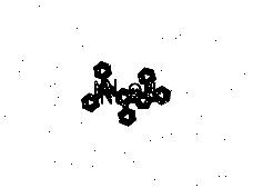 c1ccc(-c2nc(-c3ccccc3)nc(-c3cc(-c4ccccc4)c4c(c3)oc3c4ccc4c5ccccc5n(-c5ccccc5)c43)n2)cc1